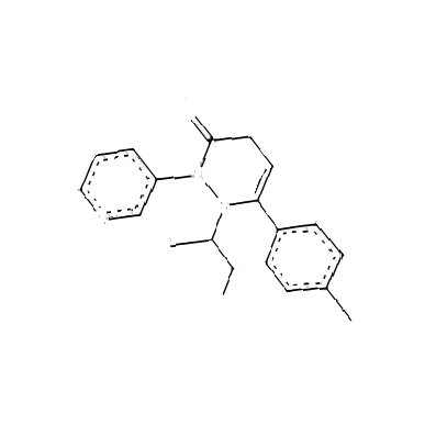 Cc1ccc(C2=CCC(=O)N(c3cccnc3)N2C(C)CO)cc1